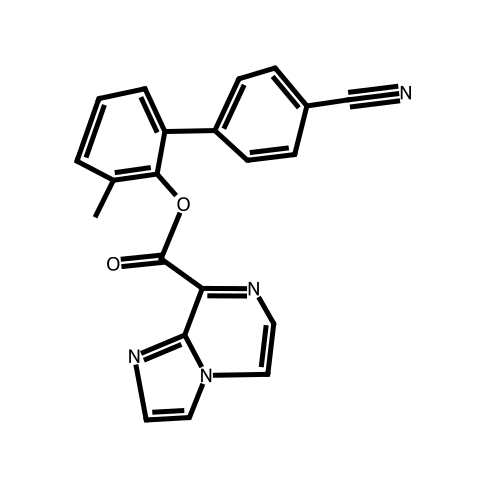 Cc1cccc(-c2ccc(C#N)cc2)c1OC(=O)c1nccn2ccnc12